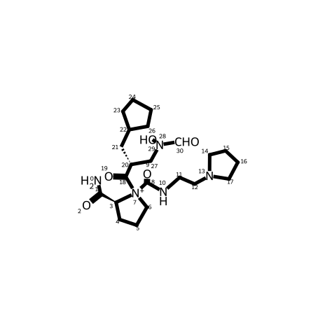 NC(=O)[C@@H]1CCC[N+]1(C(=O)NCCN1CCCC1)C(=O)[C@H](CC1CCCC1)CN(O)C=O